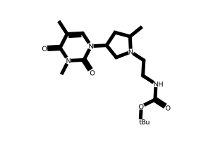 Cc1cn(C2CC(C)N(CCNC(=O)OC(C)(C)C)C2)c(=O)n(C)c1=O